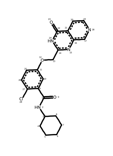 O=C(NC1CCCCC1)c1cc(OCc2nc3cnccc3c(=O)[nH]2)ccc1Cl